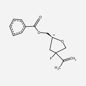 C=C(C)C1(F)CO[C@H](COC(=O)c2ccccc2)C1